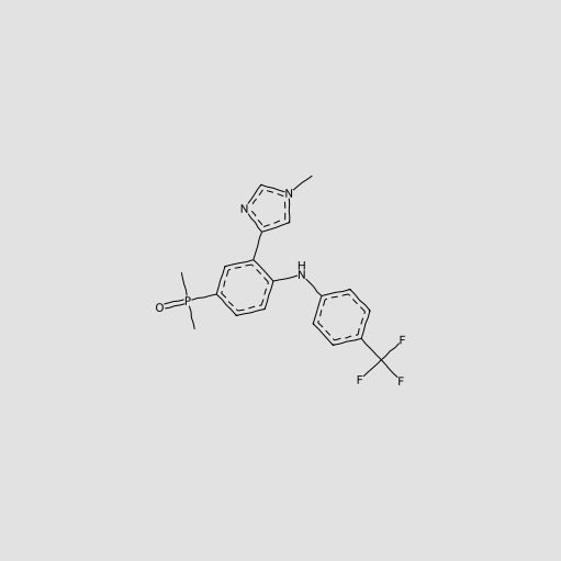 Cn1cnc(-c2cc(P(C)(C)=O)ccc2Nc2ccc(C(F)(F)F)cc2)c1